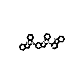 c1ccc2c(c1)cc1n(-c3ccc4cc5n(-c6nccc7c6sc6ccccc67)c6ccccc6n5c4c3)c3ccccc3n21